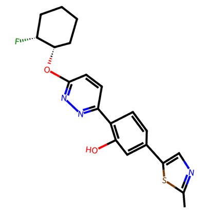 Cc1ncc(-c2ccc(-c3ccc(O[C@H]4CCCC[C@H]4F)nn3)c(O)c2)s1